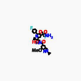 COc1cc(C(=O)NCC(O)(c2cc3c(c(-c4ccc(F)cc4)n2)OC[C@]3(CF)C(N)=O)C2CC2)cc2cn(C3CC3)nc12